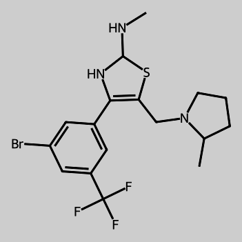 CNC1NC(c2cc(Br)cc(C(F)(F)F)c2)=C(CN2CCCC2C)S1